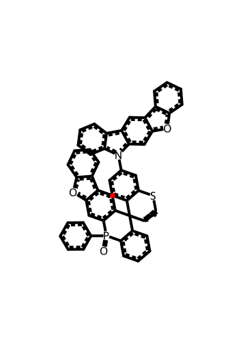 O=P1(c2ccccc2)c2ccccc2C2(c3ccccc3Sc3cc(-n4c5ccccc5c5cc6c(cc54)oc4ccccc46)ccc32)c2cc3c(cc21)oc1ccccc13